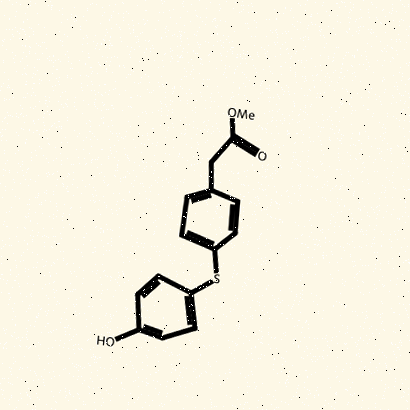 COC(=O)Cc1ccc(Sc2ccc(O)cc2)cc1